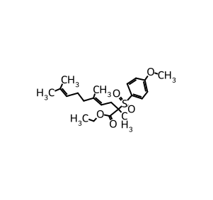 CCOC(=O)C(C)(C/C=C(\C)CCC=C(C)C)S(=O)(=O)c1ccc(OC)cc1